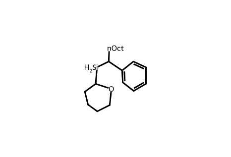 CCCCCCCCC([SiH2]C1CCCCO1)c1ccccc1